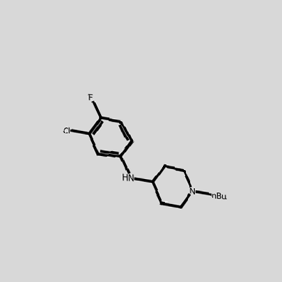 CCCCN1CCC(Nc2ccc(F)c(Cl)c2)CC1